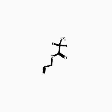 C=CCOC(=O)C(F)(I)C(F)(F)F